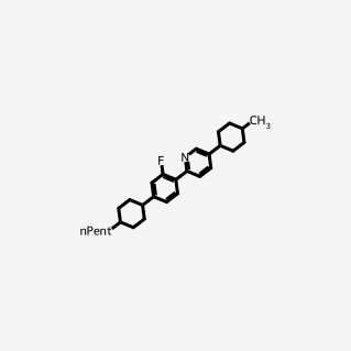 CCCCCC1CCC(c2ccc(-c3ccc(C4CCC(C)CC4)cn3)c(F)c2)CC1